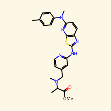 COC(=O)C(C)N(C)Cc1ccnc(Nc2nc3ccc(N(C)c4ccc(C)cc4)nc3s2)c1